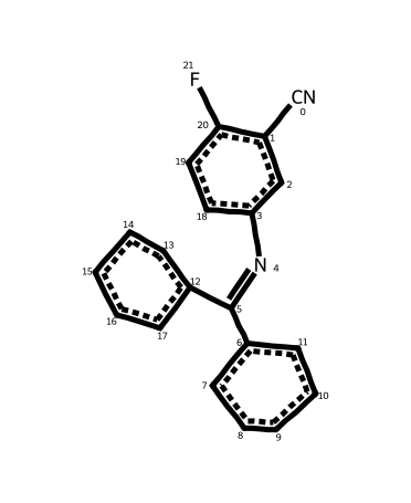 N#Cc1cc(N=C(c2ccccc2)c2ccccc2)ccc1F